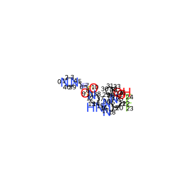 CN1CCN(C/C=C/S(=O)(=O)N2CCC(Nc3ncc4cc(C(F)F)c(=O)n([C@@H]5CCC[C@@]5(C)O)c4n3)CC2)CC1